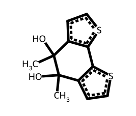 CC1(O)c2ccsc2-c2sccc2C1(C)O